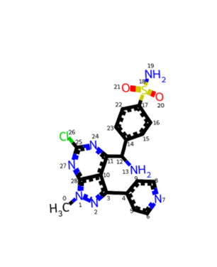 Cn1nc(-c2ccncc2)c2c(C(N)c3ccc(S(N)(=O)=O)cc3)nc(Cl)nc21